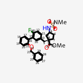 CNS(=O)(=O)N[C@H]1CC[C@](Cc2ccc(F)c(-c3ccccc3OCc3ccccc3)c2)(C(=O)OC)C1